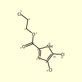 O=C(OCCCl)c1nc(Cl)c(Cl)[nH]1